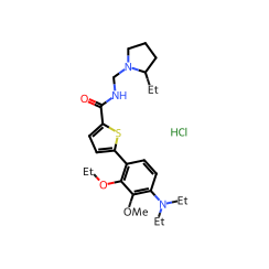 CCOc1c(-c2ccc(C(=O)NCN3CCCC3CC)s2)ccc(N(CC)CC)c1OC.Cl